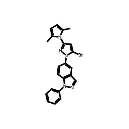 Cc1ccc(C)n1-c1cc(Br)n(-c2ccc3c(cnn3-c3ccccc3)c2)n1